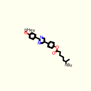 CCCCCCOc1ccc(-c2ncc(-c3ccc(OC(=O)CCCCC(C)CCCC)cc3)cn2)cc1